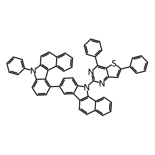 c1ccc(-c2cc3nc(-n4c5ccc(-c6cccc7c6c6c8ccccc8ccc6n7-c6ccccc6)cc5c5ccc6ccccc6c54)nc(-c4ccccc4)c3s2)cc1